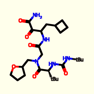 CC(C)(C)NC(=O)N[C@H](C(=O)N(CC(=O)NC(CC1CCC1)C(=O)C(N)=O)CC1CCCO1)C(C)(C)C